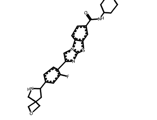 O=C(NC1CCOCC1)c1ccc2c(c1)sc1nc(-c3ccc(C4CC5(CN4)COC5)cc3F)cn12